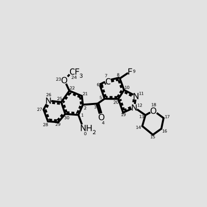 Nc1c(C(=O)c2ccc(F)c3nn(C4CCCCO4)cc23)cc(OC(F)(F)F)c2ncccc12